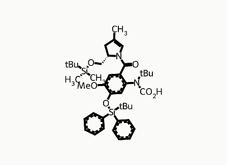 COc1cc(C(=O)N2C=C(C)C[C@H]2CO[Si](C)(C)C(C)(C)C)c(N(C(=O)O)C(C)(C)C)cc1O[Si](c1ccccc1)(c1ccccc1)C(C)(C)C